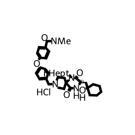 CCCCCCCN1C(=O)[C@@H](CC2(O)CCCCC2)NC(=O)C12CCN(Cc1ccc(Oc3ccc(C(=O)NC)cc3)cc1)CC2.Cl